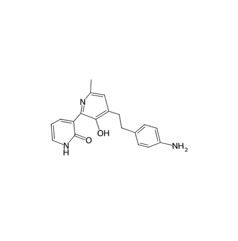 Cc1cc(CCc2ccc(N)cc2)c(O)c(-c2ccc[nH]c2=O)n1